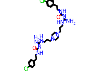 NC(=NC(=O)NCCc1ccc(Cl)cc1)NCCCN1CCN(CCCNC(N)=NC(=O)NCCc2ccc(Cl)cc2)CC1